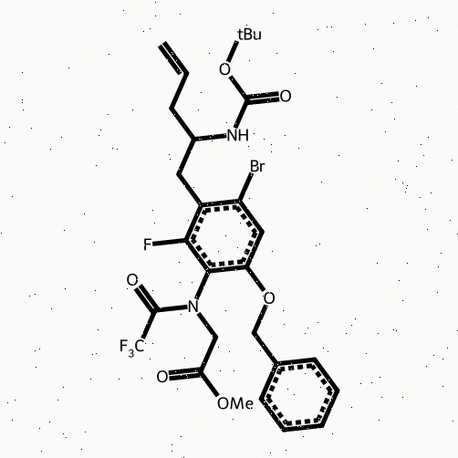 C=CCC(Cc1c(Br)cc(OCc2ccccc2)c(N(CC(=O)OC)C(=O)C(F)(F)F)c1F)NC(=O)OC(C)(C)C